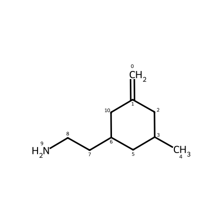 C=C1CC(C)CC(CCN)C1